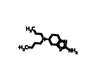 [CH2]CCCN(CCC)[C@H]1CCc2nc(N)sc2C1